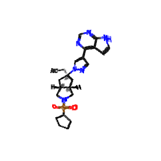 N#CC[C@@]1(n2cc(-c3ncnc4[nH]ccc34)cn2)C[C@H]2CN(S(=O)(=O)C3CCCC3)C[C@H]2C1